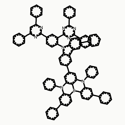 c1ccc(-c2ccc3c(c2)N(c2ccccc2)c2cc(-c4ccc5c(c4)c4cc(-c6ccccc6)ccc4n5-c4ccc(-c5nc(-c6ccccc6)cc(-c6ccccc6)n5)cc4-c4nc(-c5ccccc5)nc(-c5ccccc5)n4)cc4c2B3c2ccc(-c3ccccc3)cc2N4c2ccccc2)cc1